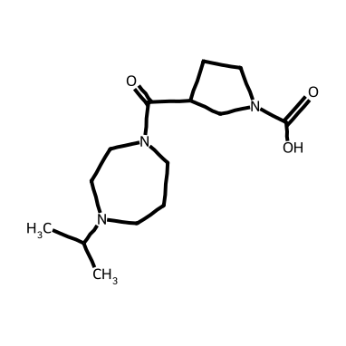 CC(C)N1CCCN(C(=O)C2CCN(C(=O)O)C2)CC1